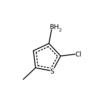 Bc1cc(C)sc1Cl